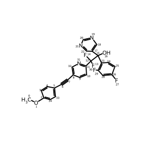 COc1ccc(C#Cc2ccc(C(F)(F)C(O)(c3cncnc3)c3ccc(F)cc3F)nc2)cc1